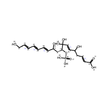 CC(O)(/C=C/C(O)C/C=C/C(=O)O)C(CC(O)/C=C/C=C/C=C/CO)OP(=O)(O)O